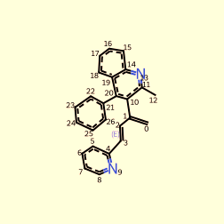 C=C(/C=C/c1ccccn1)c1c(C)nc2ccccc2c1-c1ccccc1